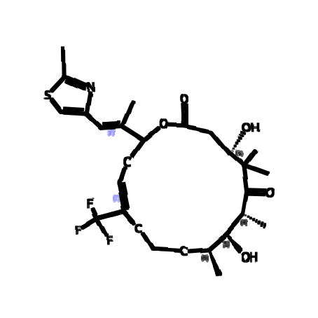 C/C(=C\c1csc(C)n1)C1C/C=C(/C(F)(F)F)CCC[C@H](C)[C@H](O)[C@@H](C)C(=O)C(C)(C)[C@@H](O)CC(=O)O1